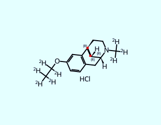 Cl.[2H]C([2H])([2H])N1CC[C@]23CCCC[C@H]2[C@H]1Cc1ccc(OC([2H])([2H])C([2H])([2H])[2H])cc13